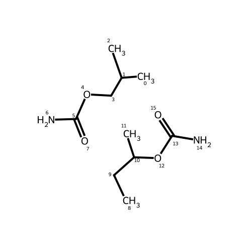 CC(C)COC(N)=O.CCC(C)OC(N)=O